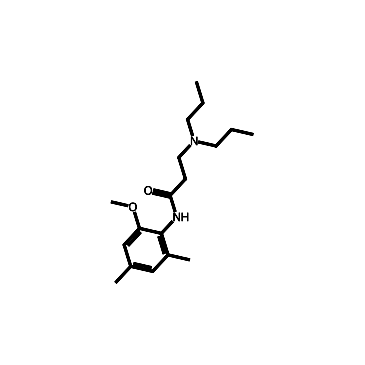 CCCN(CCC)CCC(=O)Nc1c(C)cc(C)cc1OC